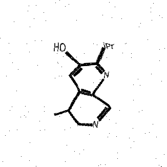 CC(C)c1nc2c(cc1O)C(C)CN=C2